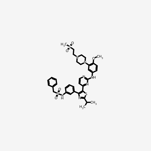 COc1ccc(Nc2nccc(-c3sc(C(C)C)nc3-c3cccc(NS(=O)(=O)Cc4ccccc4)c3)n2)cc1N1CCN(CCS(C)(=O)=O)CC1